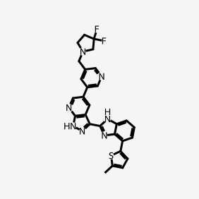 Cc1ccc(-c2cccc3[nH]c(-c4n[nH]c5ncc(-c6cncc(CN7CCC(F)(F)C7)c6)cc45)nc23)s1